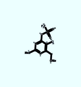 COCc1nc(SC)nc(OS(=O)(=O)C(F)(F)F)c1Cl